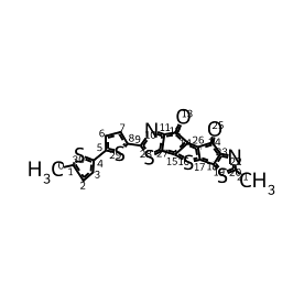 Cc1ccc(-c2ccc(-c3nc4c(=O)c5c(sc6c7sc(C)nc7c(=O)c65)c4s3)s2)s1